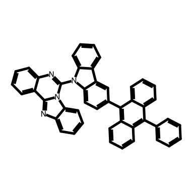 c1ccc(-c2c3ccccc3c(-c3ccc4c(c3)c3ccccc3n4-c3nc4ccccc4c4nc5ccccc5n34)c3ccccc23)cc1